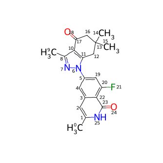 Cc1cc2cc(-n3nc(C)c4c3CC(C)(C)CC4=O)cc(F)c2c(=O)[nH]1